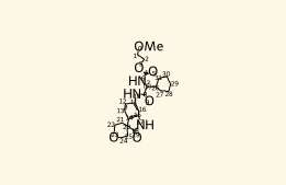 COCCOC(=O)N[C@H](C(=O)Nc1ccc2c(c1)NC(=O)C21CCOCC1)C1CCCCC1